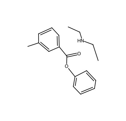 CCNCC.Cc1cccc(C(=O)Oc2ccccc2)c1